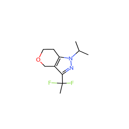 CC(C)n1nc(C(C)(F)F)c2c1CCOC2